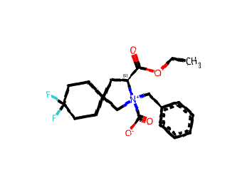 CCOC(=O)[C@@H]1CC2(CCC(F)(F)CC2)C[N+]1(Cc1ccccc1)C(=O)[O-]